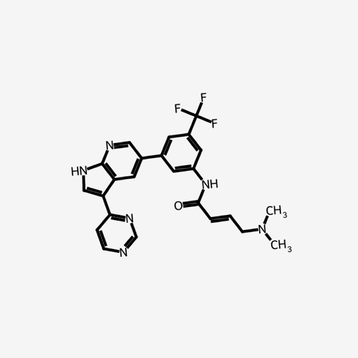 CN(C)C/C=C/C(=O)Nc1cc(-c2cnc3[nH]cc(-c4ccncn4)c3c2)cc(C(F)(F)F)c1